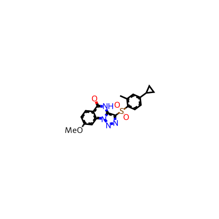 COc1ccc2c(=O)[nH]c3c(S(=O)(=O)c4ccc(C5CC5)cc4C)nnn3c2c1